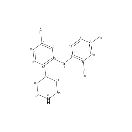 Cc1ccc(Sc2cc(F)ccc2C2CCNCC2)c(F)c1